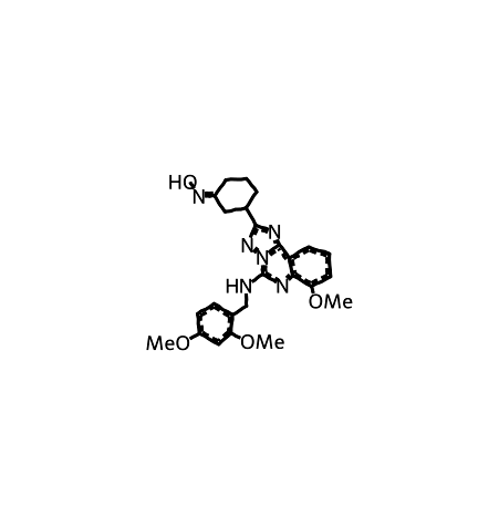 COc1ccc(CNc2nc3c(OC)cccc3c3nc(C4CCC/C(=N\O)C4)nn23)c(OC)c1